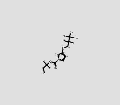 CCC(C)(C)OC(=O)n1ccc(OCC(C)(C)C(F)(F)F)n1